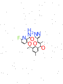 Cc1cc([C@@H](C)Oc2ccc(F)nc2C(N)=O)c2oc(-c3cnn(C)c3)c(C)c(=O)c2c1